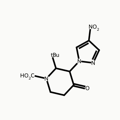 CC(C)(C)C1C(n2cc([N+](=O)[O-])cn2)C(=O)CCN1C(=O)O